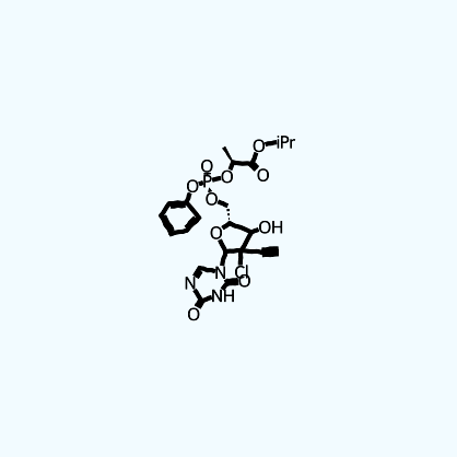 C#CC1(Cl)C(O)[C@@H](CO[P@](=O)(Oc2ccccc2)O[C@@H](C)C(=O)OC(C)C)OC1n1cnc(=O)[nH]c1=O